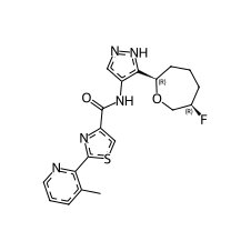 Cc1cccnc1-c1nc(C(=O)Nc2cn[nH]c2[C@H]2CCC[C@@H](F)CO2)cs1